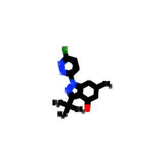 CC1CC(=O)c2c(C(C)(C)C)nn(-c3ccc(Cl)nn3)c2C1